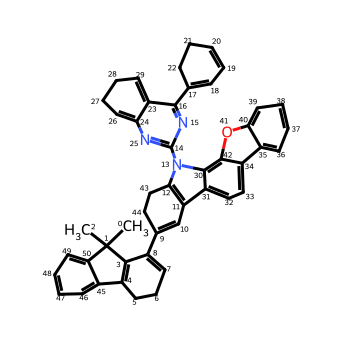 CC1(C)C2=C(CCC=C2C2=Cc3c(n(-c4nc(C5=CC=CCC5)c5c(n4)=CCCC=5)c4c3ccc3c5ccccc5oc34)CC2)c2ccccc21